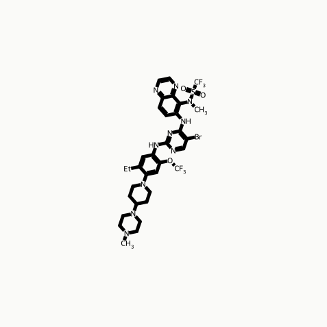 CCc1cc(Nc2ncc(Br)c(Nc3ccc4nccnc4c3N(C)S(=O)(=O)C(F)(F)F)n2)c(OC(F)(F)F)cc1N1CCC(N2CCN(C)CC2)CC1